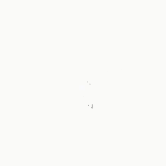 Cc1ccc(/C(N)=N/OC(=O)C(F)(F)F)cc1